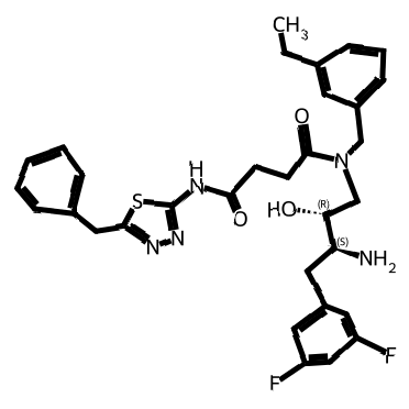 CCc1cccc(CN(C[C@@H](O)[C@@H](N)Cc2cc(F)cc(F)c2)C(=O)CCC(=O)Nc2nnc(Cc3ccccc3)s2)c1